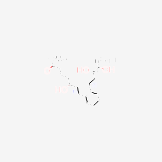 CCCCC[C@@H](O)[C@@H](O)/C=C/c1ccccc1/C=C/[C@@H](O)CCCC(=O)OC